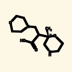 C[C@@]1(C(CN2CCOCC2)C(=O)O)CNCCO1